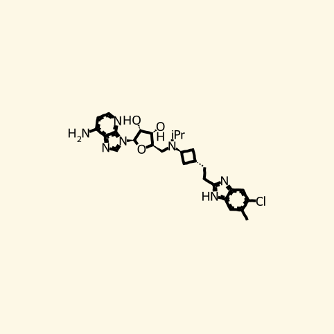 Cc1cc2[nH]c(CC[C@H]3C[C@H](N(C[C@H]4O[C@@H](n5cnc6c(N)ccnc65)[C@H](O)[C@@H]4O)C(C)C)C3)nc2cc1Cl